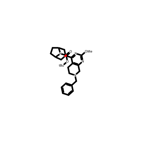 COc1nc2c(c(N3CC4CCC(C3)N4C(=O)OC(C)(C)C)n1)CCN(Cc1ccccc1)C2